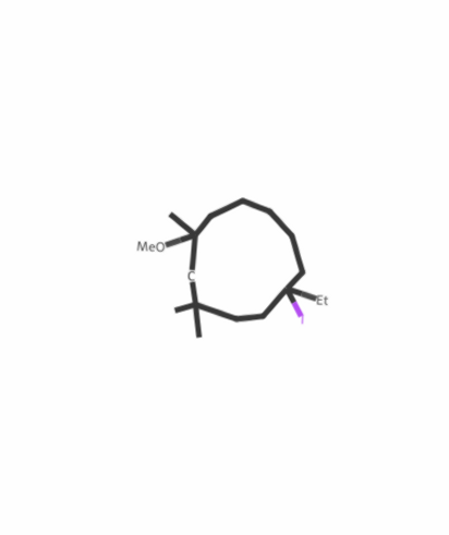 CCC1(I)CCCCCC(C)(OC)CC(C)(C)CC1